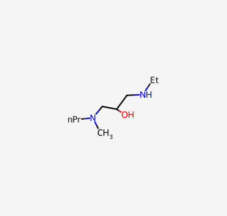 CCCN(C)CC(O)CNCC